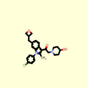 Cc1c(C(=O)CN2CCC(O)CC2)c2ccc(CC3COC3)cc2n1-c1ccc(Cl)cc1